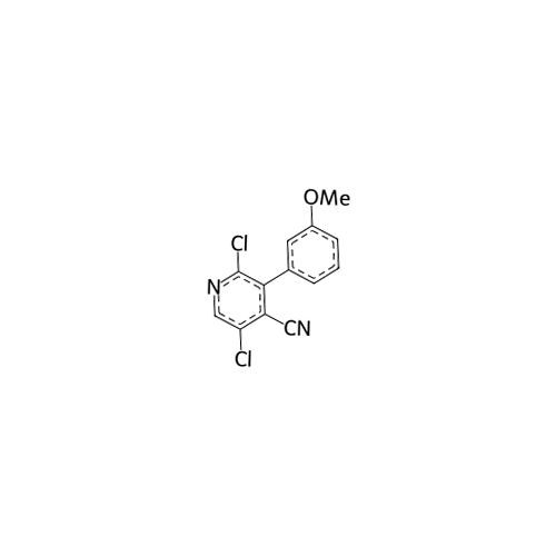 COc1cccc(-c2c(Cl)ncc(Cl)c2C#N)c1